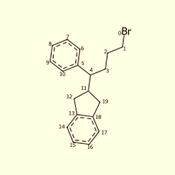 BrCCCC(c1ccccc1)C1Cc2ccccc2C1